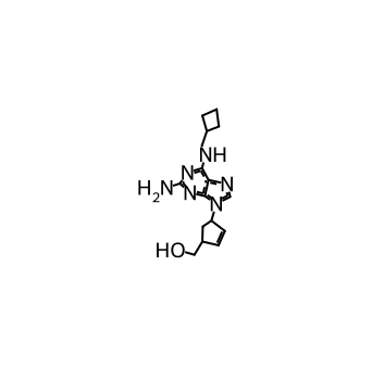 Nc1nc(NCC2CCC2)c2ncn(C3C=CC(CO)C3)c2n1